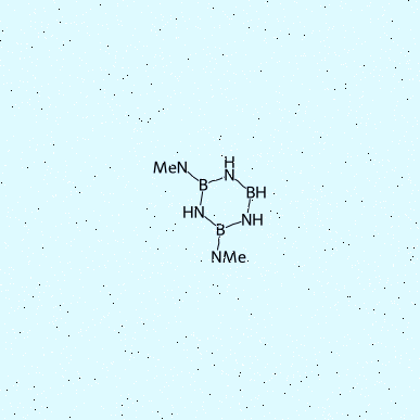 CNB1NBNB(NC)N1